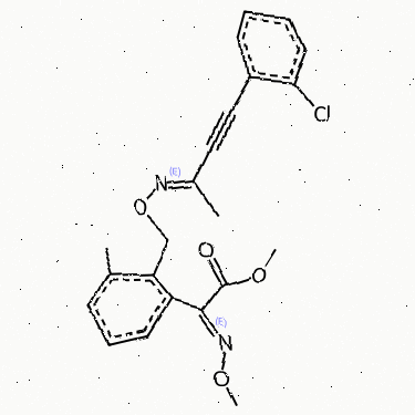 CO/N=C(/C(=O)OC)c1cccc(C)c1CO/N=C(\C)C#Cc1ccccc1Cl